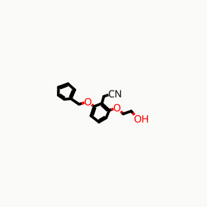 N#CCc1c(OCCO)cccc1OCc1ccccc1